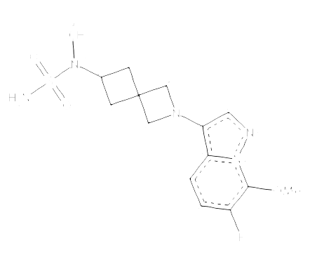 COc1c(F)ccc2c(N3CC4(CC(N(C)S(N)(=O)=O)C4)C3)cnn12